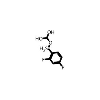 OC(O)O[SiH2]c1ccc(F)cc1F